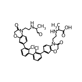 CC(C=O)NCCN1C(=O)COc2cc(-c3cccc(-c4cccc(-c5ccc6c(c5)OCC(=O)N6CCNC(C)C(=O)O)c4Cl)c3Cl)ccc21